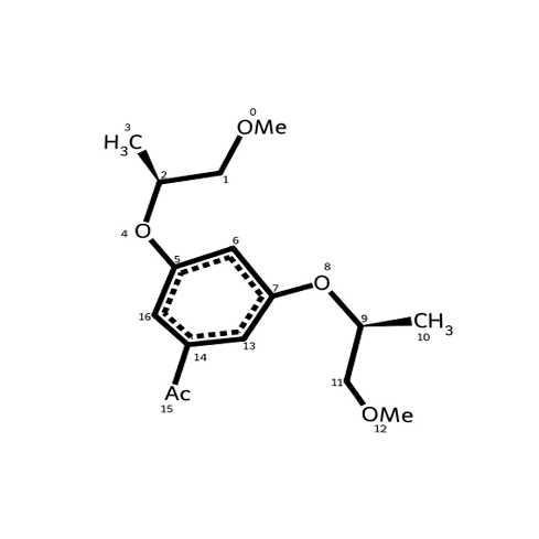 COC[C@H](C)Oc1cc(O[C@@H](C)COC)cc(C(C)=O)c1